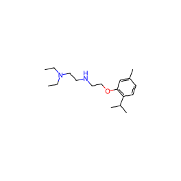 CCN(CC)CCNCCOc1cc(C)ccc1C(C)C